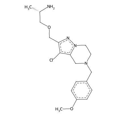 COc1ccc(CN2CCn3nc(COC[C@H](C)N)c(Cl)c3C2)cc1